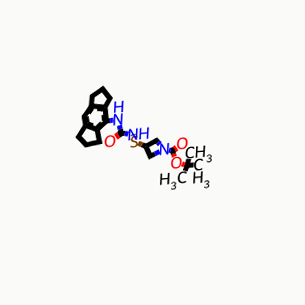 CC(C)(C)OC(=O)N1CC(SNC(=O)Nc2c3c(cc4c2CCC4)CCC3)C1